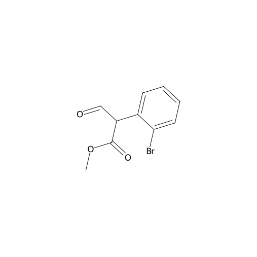 COC(=O)C(C=O)c1ccccc1Br